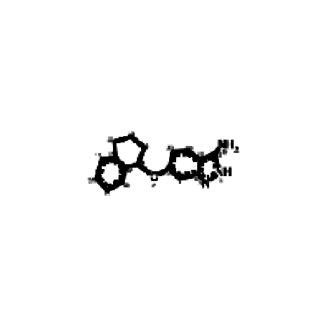 Nc1[nH]nc2cc(OC3CCCc4ccccc43)ccc12